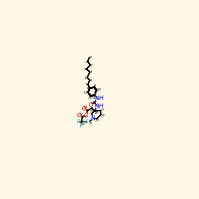 CCCCCCCCc1ccc(NC(=O)NC2(CC(=O)OC(=O)C(F)(F)F)CCCN(C)C2)cc1